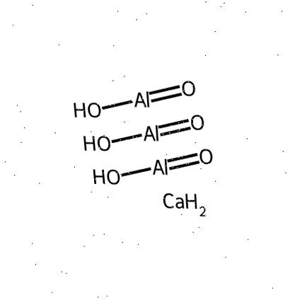 [CaH2].[O]=[Al][OH].[O]=[Al][OH].[O]=[Al][OH]